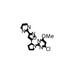 COc1cc(Cl)nc(N2CCC[C@H]2c2cc(-c3ncccn3)no2)n1